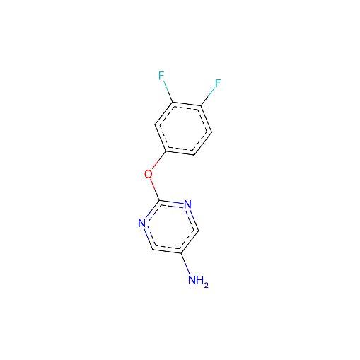 Nc1cnc(Oc2ccc(F)c(F)c2)nc1